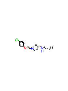 O=C(O)NCC1CCN(CCOc2ccc(Cl)cc2)CC1